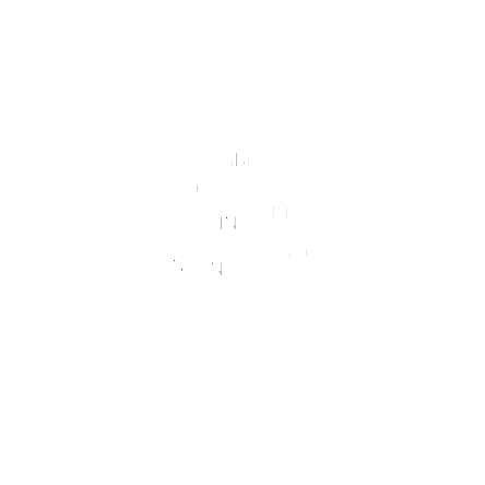 CCCCC(CC)CNC(Cn1cnc2ccccc21)C(CC)CCCC